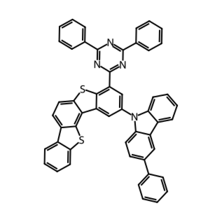 c1ccc(-c2ccc3c(c2)c2ccccc2n3-c2cc(-c3nc(-c4ccccc4)nc(-c4ccccc4)n3)c3sc4ccc5c6ccccc6sc5c4c3c2)cc1